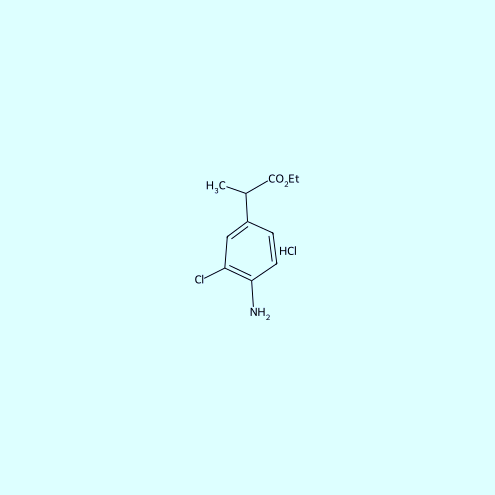 CCOC(=O)C(C)c1ccc(N)c(Cl)c1.Cl